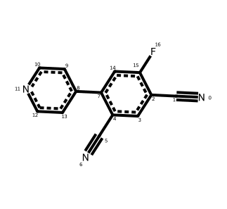 N#Cc1cc(C#N)c(-c2ccncc2)cc1F